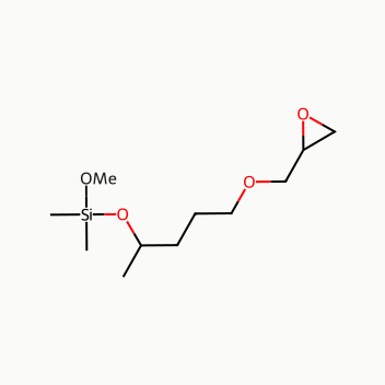 CO[Si](C)(C)OC(C)CCCOCC1CO1